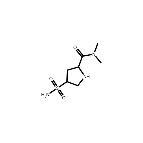 CN(C)C(=O)C1CC(S(N)(=O)=O)CN1